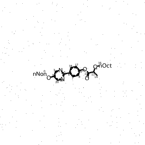 CCCCCCCCCOc1cnc(-c2ccc(OC(=O)C(C)OCCCCCCCC)cc2)nc1